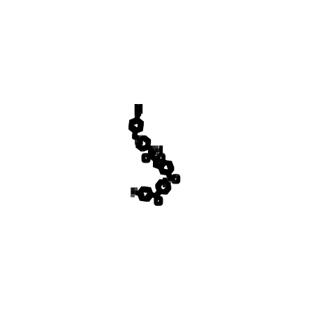 N#Cc1ccc(CN2CCC(NC(=O)c3cc4cc(C(=O)N5CCC(C(=O)c6ccc(F)cc6)CC5)ccc4o3)CC2)cc1